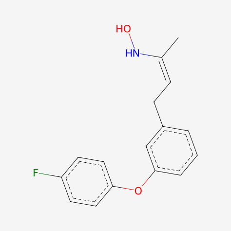 CC(=CCc1cccc(Oc2ccc(F)cc2)c1)NO